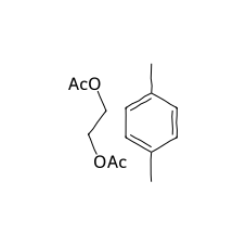 CC(=O)OCCOC(C)=O.Cc1ccc(C)cc1